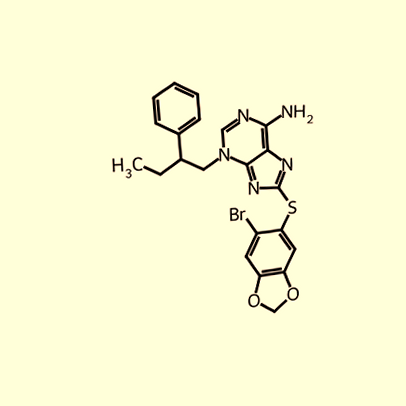 CCC(Cn1cnc(N)c2nc(Sc3cc4c(cc3Br)OCO4)nc1-2)c1ccccc1